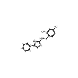 Clc1ccc(CNc2ncc(-c3ccccc3)[nH]2)c(Cl)c1